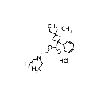 CCN(CC)CCOC(=O)C1(c2ccccc2)CC(CC)(CC)C1.Cl